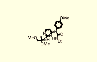 CCNC(=O)N(c1ccc(OC)cc1)c1ccnc(N[C@@](C)(COC)OC)n1